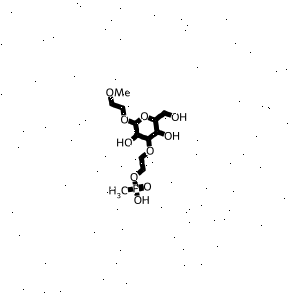 COCCOC1OC(CO)C(O)C(OCCOP(C)(=O)O)C1O